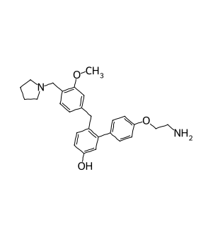 COc1cc(Cc2ccc(O)cc2-c2ccc(OCCN)cc2)ccc1CN1CCCC1